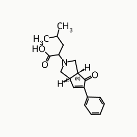 CC(C)CC(C(=O)O)N1C[C@H]2C=C(c3ccccc3)C(=O)[C@H]2C1